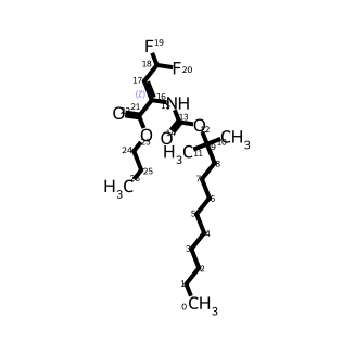 CCCCCCCCCC(C)(C)OC(=O)N/C(=C\C(F)F)C(=O)OCCC